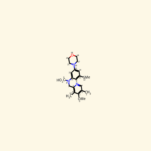 COc1c(C)cnc(CN(C(=O)O)c2cc(SC)cc(N3CCOCC3)c2)c1C